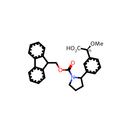 CO[C@H](C(=O)O)c1cccc(C2CCCN2C(=O)OCC2c3ccccc3-c3ccccc32)c1